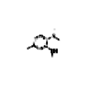 CNc1cc(C)ccc1N(C)C